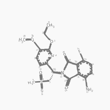 CCOc1nc([C@@H](CS(C)(=O)=O)N2C(=O)c3c(N)ccc(F)c3C2=O)ccc1OC